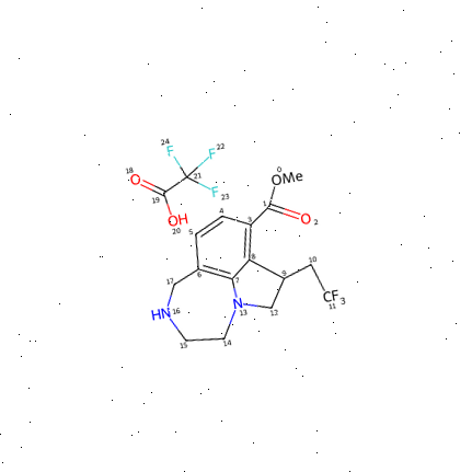 COC(=O)c1ccc2c3c1C(CC(F)(F)F)CN3CCNC2.O=C(O)C(F)(F)F